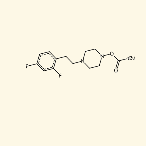 CC(C)(C)C(=O)ON1CCN(CCc2ccc(F)cc2F)CC1